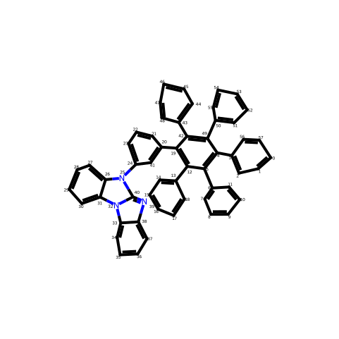 c1ccc(-c2c(-c3ccccc3)c(-c3ccccc3)c(-c3cccc(-n4c5ccccc5n5c6ccccc6nc45)c3)c(-c3ccccc3)c2-c2ccccc2)cc1